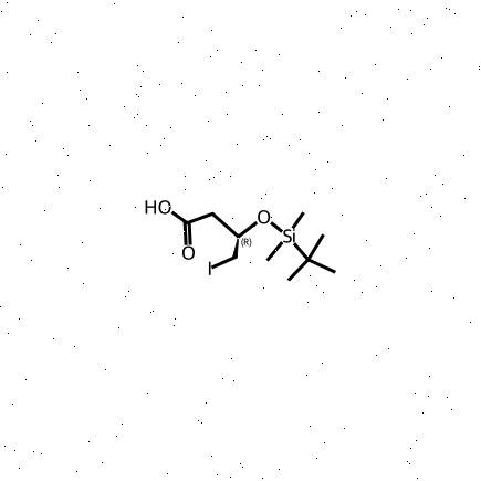 CC(C)(C)[Si](C)(C)O[C@@H](CI)CC(=O)O